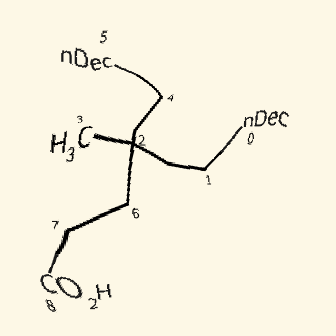 CCCCCCCCCCCC(C)(CCCCCCCCCCC)CCC(=O)O